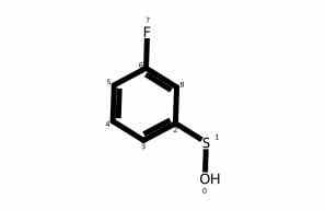 OSc1cccc(F)c1